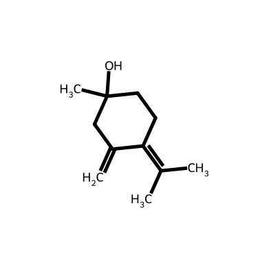 C=C1CC(C)(O)CCC1=C(C)C